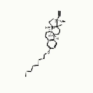 C#C[C@]1(O)CC[C@H]2[C@@H]3CCc4cc(OCCCCCCCC)ccc4[C@H]3CCC21C